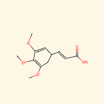 COC1=CC(C=CC(=O)O)CC(OC)=C1OC